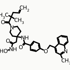 C=CCC(C)(C)C(=O)N1CCC(CC(=O)NO)(NC(=O)c2ccc(OCc3cc(C)nc4ccccc34)cc2)CC1